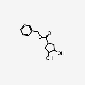 O=C(OCc1ccccc1)C1CC(O)C(O)C1